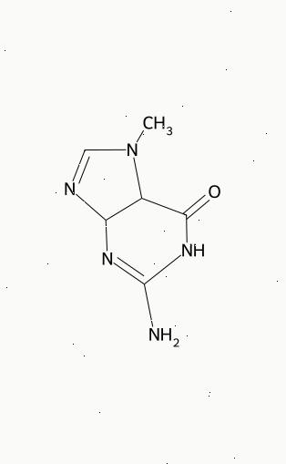 CN1C=NC2N=C(N)NC(=O)C21